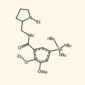 CCC[CH2][Sn]([CH2]CCC)([CH2]CCC)[c]1cc(OC)c(OCC)c(C(=O)NCC2CCCN2CC)c1